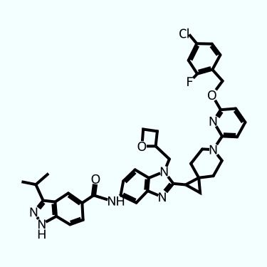 CC(C)c1n[nH]c2ccc(C(=O)Nc3ccc4c(c3)nc(C3CC35CCN(c3cccc(OCc6ccc(Cl)cc6F)n3)CC5)n4CC3CCO3)cc12